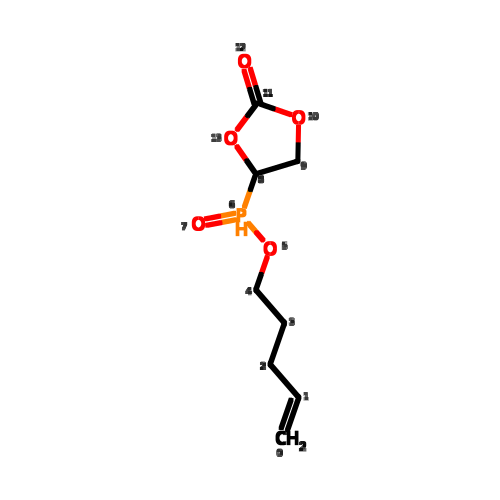 C=CCCCO[PH](=O)C1COC(=O)O1